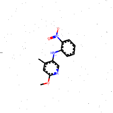 COc1cc(C)c(Nc2ccccc2[N+](=O)[O-])cn1